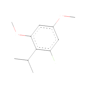 COc1cc(F)c(C(C)C)c(OC)c1